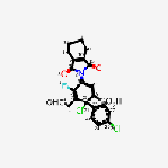 O=CCC1=C(F)C(N2C(=O)C3=C(CCCC3)C2=O)=CC(C(=O)O)C1(Cl)c1ccc(Cl)cc1